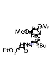 CCOC(=O)CC(=O)N/N=C/C(Sc1nc(OC)cc(OC)n1)C(C)(C)C